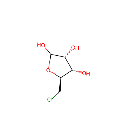 OC1O[C@H](CCl)[C@@H](O)[C@H]1O